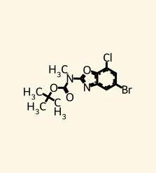 CN(C(=O)OC(C)(C)C)c1nc2cc(Br)cc(Cl)c2o1